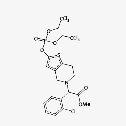 COC(=O)[C@H](c1ccccc1Cl)N1CCc2sc(OP(=O)(OCC(Cl)(Cl)Cl)OCC(Cl)(Cl)Cl)cc2C1